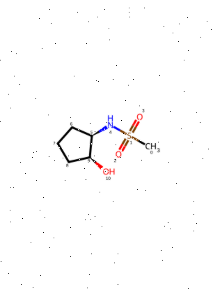 CS(=O)(=O)N[C@@H]1CCC[C@@H]1O